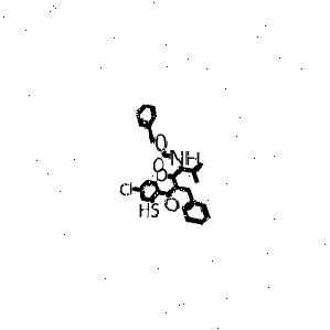 CC(C)C(NC(=O)OCc1ccccc1)C(=O)C(Cc1ccccc1)C(=O)c1ccc(Cl)cc1S